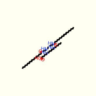 CCCCCCC=CC=CCCCCCCCC(=O)NCCNCCNCCNC(=O)CCCCCCCC=CC=CCCCCCC.CCCCCCC=CC=CCCCCCCCC(=O)O